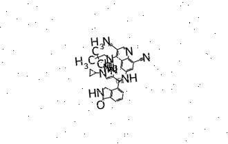 CC(C)(C)CNc1c(C#N)cnc2c(C#N)cc(N[C@H](c3cn(C4CC4)nn3)c3cccc4c3CNC4=O)cc12